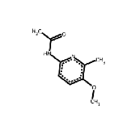 COc1ccc(NC(C)=O)nc1C